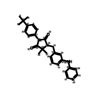 CC(C)(C)c1ccc(N2C(=O)N(Cc3ccnc(Nc4ccncn4)c3)C(C)(C)C2=O)cc1